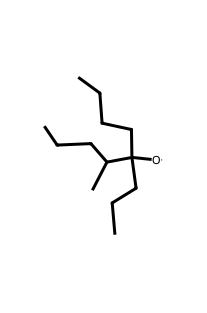 CCCCC([O])(CCC)C(C)CCC